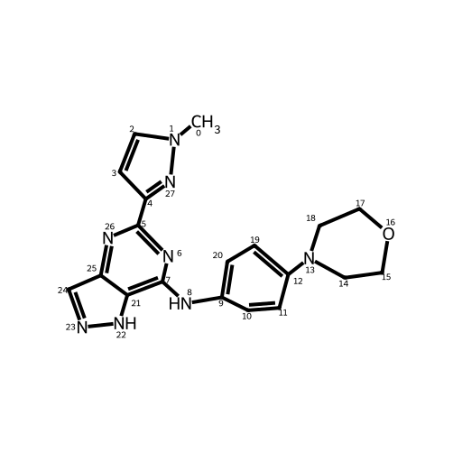 Cn1ccc(-c2nc(Nc3ccc(N4CCOCC4)cc3)c3[nH]ncc3n2)n1